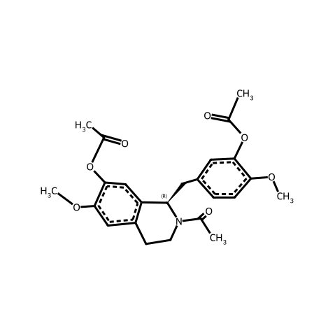 COc1ccc(C[C@@H]2c3cc(OC(C)=O)c(OC)cc3CCN2C(C)=O)cc1OC(C)=O